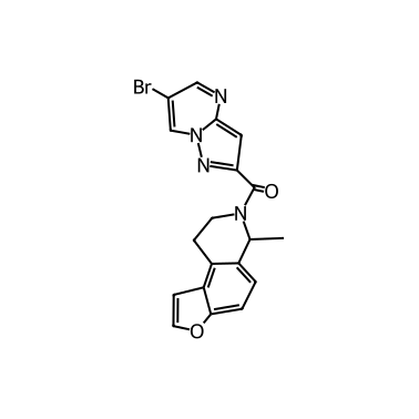 CC1c2ccc3occc3c2CCN1C(=O)c1cc2ncc(Br)cn2n1